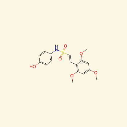 COc1cc(OC)c(C=CS(=O)(=O)Nc2ccc(O)cc2)c(OC)c1